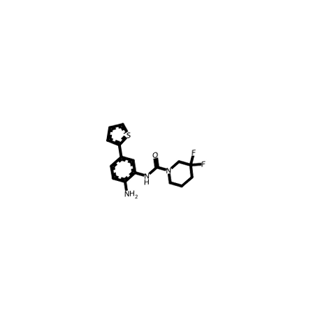 Nc1ccc(-c2cccs2)cc1NC(=O)N1CCCC(F)(F)C1